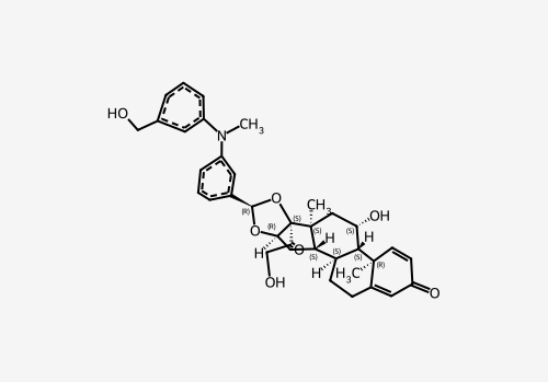 CN(c1cccc(CO)c1)c1cccc([C@@H]2O[C@@H]3C[C@H]4[C@@H]5CCC6=CC(=O)C=C[C@]6(C)[C@H]5[C@@H](O)C[C@]4(C)[C@]3(C(=O)CO)O2)c1